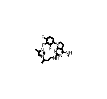 C=C(CCNc1nc(NC)c2c(n1)N(c1ccc(F)c(F)c1F)CC2)n1cnc(C)c1